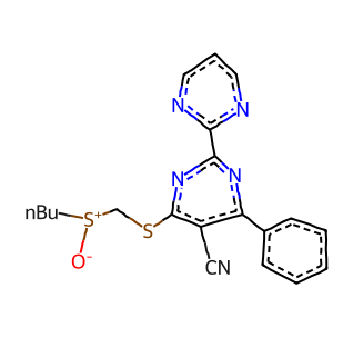 CCCC[S+]([O-])CSc1nc(-c2ncccn2)nc(-c2ccccc2)c1C#N